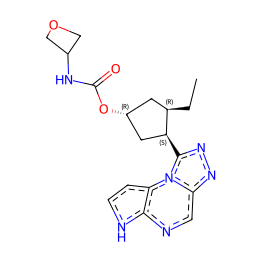 CC[C@@H]1C[C@@H](OC(=O)NC2COC2)C[C@@H]1c1nnc2cnc3[nH]ccc3n12